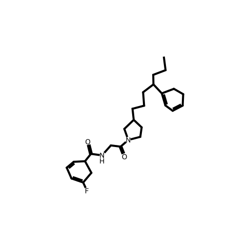 CCCC(CCCC1CCN(C(=O)CNC(=O)C2C=CC=C(F)C2)C1)C1=CC=CCC1